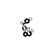 O=C(c1ccc(Cl)cc1)N1CCN(c2cccc3ccc(=O)[nH]c23)CC1